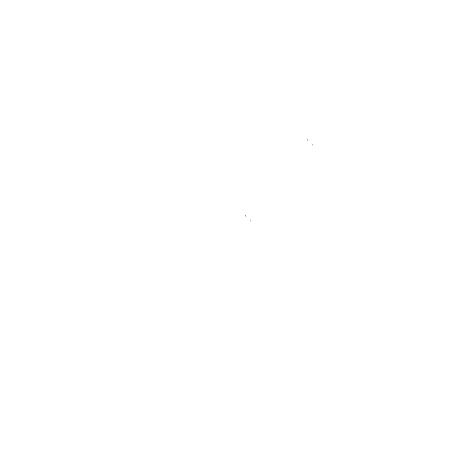 c1ccc(-n2c3ccccc3c3ccc(N(c4ccc(-c5cccc6c5oc5ccccc56)cc4)c4ccc(-c5cccc6c5oc5ccccc56)cc4)cc32)cc1